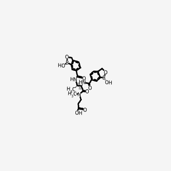 C[C@H](NC(=O)c1ccc2c(c1)B(O)OC2)[C@H](NC(=O)c1ccc2c(c1)B(O)OC2)C(=O)N(C)CCC(=O)O